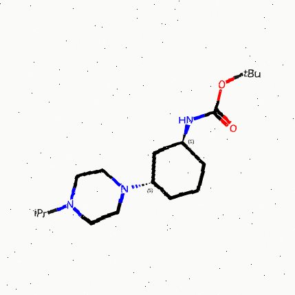 CC(C)N1CCN([C@H]2CCC[C@H](NC(=O)OC(C)(C)C)C2)CC1